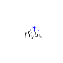 CN.[CaH2].[Ti]